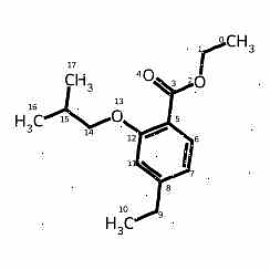 CCOC(=O)c1ccc(CC)cc1OCC(C)C